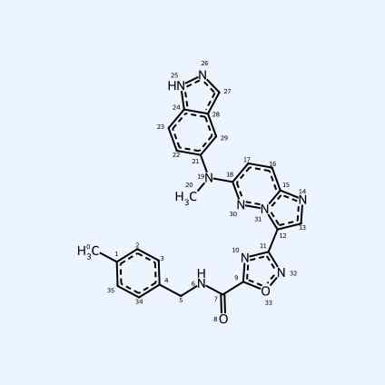 Cc1ccc(CNC(=O)c2nc(-c3cnc4ccc(N(C)c5ccc6[nH]ncc6c5)nn34)no2)cc1